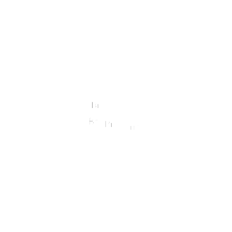 [Br-].[Br-].[Br-].[In+3]